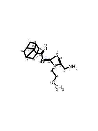 COCCn1c(CN)cs/c1=N\C(=O)C12CC3CC(CC(C3)C1)C2